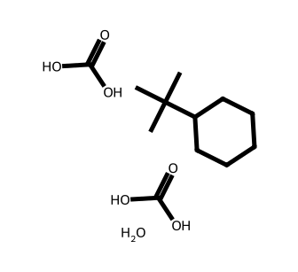 CC(C)(C)C1CCCCC1.O.O=C(O)O.O=C(O)O